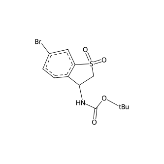 CC(C)(C)OC(=O)NC1CS(=O)(=O)c2cc(Br)ccc21